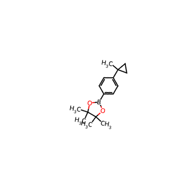 CC1(c2ccc(B3OC(C)(C)C(C)(C)O3)cc2)CC1